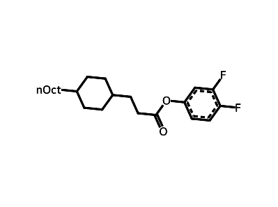 CCCCCCCCC1CCC(CCC(=O)Oc2ccc(F)c(F)c2)CC1